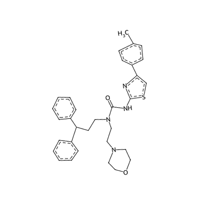 Cc1ccc(-c2csc(NC(=O)N(CCC(c3ccccc3)c3ccccc3)CCN3CCOCC3)n2)cc1